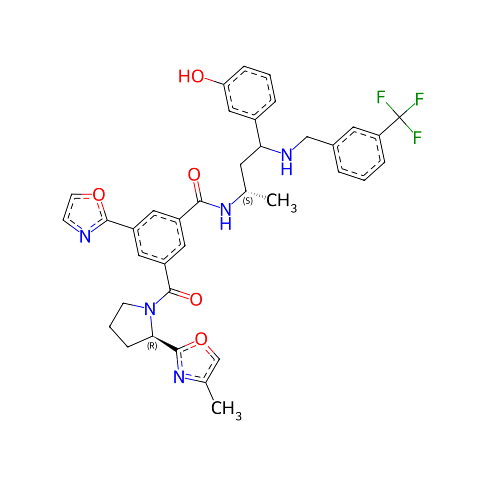 Cc1coc([C@H]2CCCN2C(=O)c2cc(C(=O)N[C@@H](C)CC(NCc3cccc(C(F)(F)F)c3)c3cccc(O)c3)cc(-c3ncco3)c2)n1